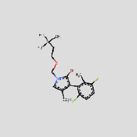 Cc1c(F)ccc(F)c1-c1c(C(=O)O)cn(COCC[Si](C)(C)C)c1Br